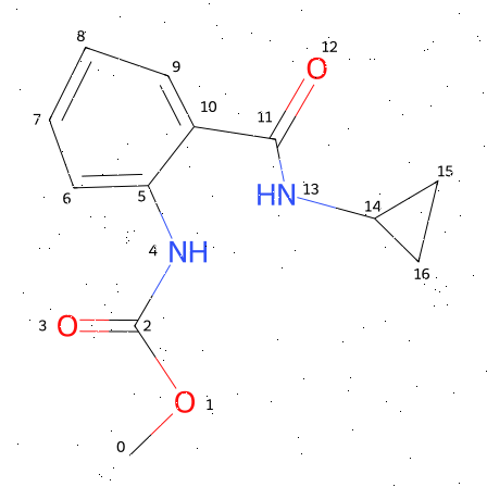 COC(=O)Nc1ccccc1C(=O)NC1CC1